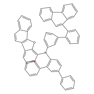 c1ccc(-c2ccc(N(c3cccc(-c4ccccc4-c4cc5ccccc5c5ccccc45)c3)c3cccc4c3oc3c5ccccc5ccc43)c(-c3ccccc3)c2)cc1